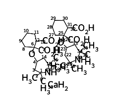 CC1(C)CC(OC2(C(=O)O)CCCCC2C(=O)O)CC(C)(C)N1.CC1(C)CC(OC2(C(=O)O)CCCCC2C(=O)O)CC(C)(C)N1.[CaH2]